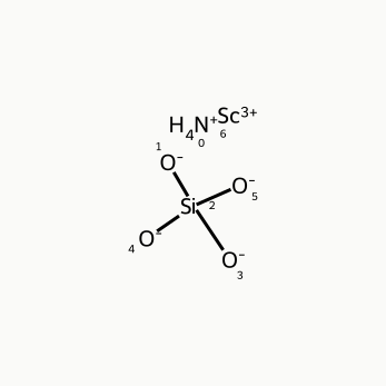 [NH4+].[O-][Si]([O-])([O-])[O-].[Sc+3]